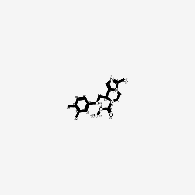 CCc1ncc2n1CCN(C(=O)OC(C)(C)C)C2COc1ccc(C)c(C)c1